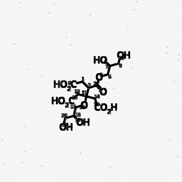 O=C(O)CC(C(=O)OCC(O)CO)C(CC(=O)O)(CC(=O)O)OCC(O)CO